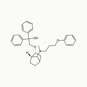 CN(CCCOc1ccccc1)C1C2CC[C@@H]1[C@H](OCC(O)(c1ccccc1)c1ccccc1)C2